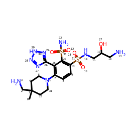 CC1(CN)CCN(c2ccc(S(=O)(=O)NCC(O)CN)c(S(N)(=O)=O)c2-c2nn[nH]n2)CC1